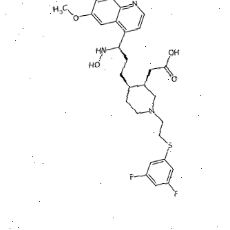 COc1ccc2nccc([C@@H](CC[C@@H]3CCN(CCSc4cc(F)cc(F)c4)C[C@@H]3CC(=O)O)NO)c2c1